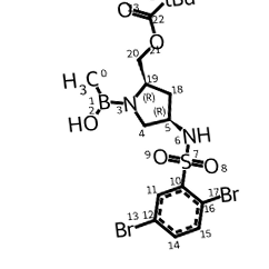 CB(O)N1C[C@H](NS(=O)(=O)c2cc(Br)ccc2Br)C[C@@H]1COC(=O)C(C)(C)C